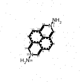 NN1C=c2ccc3c4c(ccc(c24)=C1)=CN(N)C=3